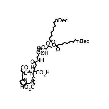 CCCCCCCCCCCCCCCCCC(=O)OCC(COP(=O)(O)OCCNC(=O)CCC(C(=O)O)N1CCN(CC(=O)O)Cc2cccc(n2)CN(CC(=O)O)CC1)OC(=O)CCCCCCCCCCCCCCCCC